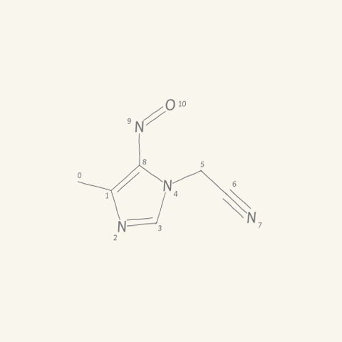 Cc1ncn(CC#N)c1N=O